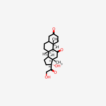 C[C@]12CCC(=O)CC1CC[C@@H]1[C@@H]2C(=O)C[C@@]2(C)[C@H]1CC[C@]2(O)C(=O)CO